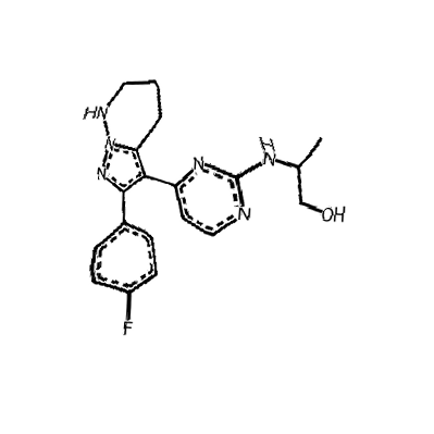 CC(CO)Nc1nccc(-c2c(-c3ccc(F)cc3)nn3c2CCCN3)n1